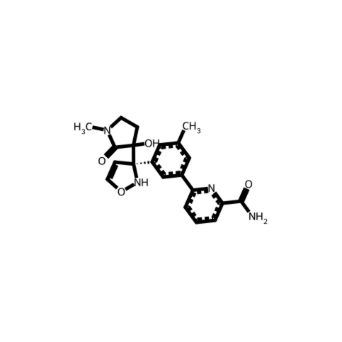 Cc1cc(-c2cccc(C(N)=O)n2)cc([C@@]2(C3(O)CCN(C)C3=O)C=CON2)c1